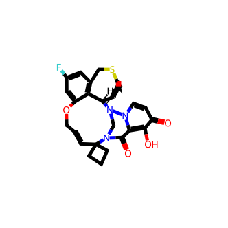 O=C1c2c(O)c(=O)ccn2N2CN1C1(/C=C/COc3cc(F)cc4c3[C@H]2c2ccccc2SC4)CCC1